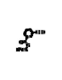 CCCCCOC(=O)c1cccc([C]=O)c1